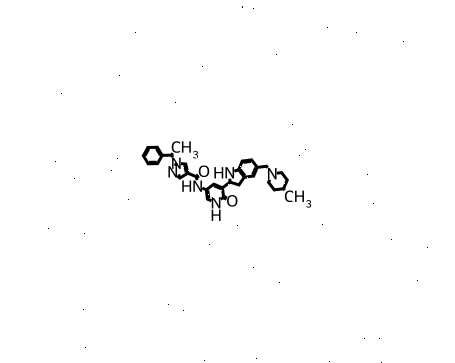 CC1CCN(Cc2ccc3c(c2)CC(c2cc(NC(=O)c4cnn(C(C)c5ccccc5)c4)c[nH]c2=O)N3)CC1